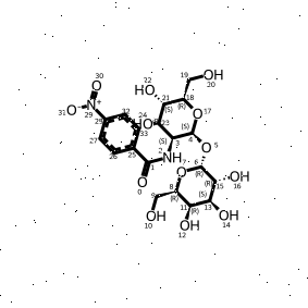 O=C(N[C@@H]1[C@H](O[C@H]2O[C@H](CO)[C@H](O)[C@H](O)[C@H]2O)O[C@H](CO)[C@@H](O)[C@@H]1O)c1ccc([N+](=O)[O-])cc1